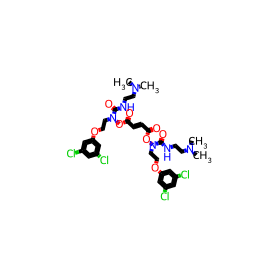 CN(C)CCNC(=O)N(CCOc1cc(Cl)cc(Cl)c1)OC(=O)/C=C/C(=O)ON(CCOc1cc(Cl)cc(Cl)c1)C(=O)NCCN(C)C